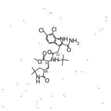 COC(=O)[C@H](C[C@@H]1CC(C)(C)NC1=O)NC(=O)[C@@H](CC(C)(C)C)c1c(C(N)=O)[nH]c2c(Cl)c(Cl)ccc12